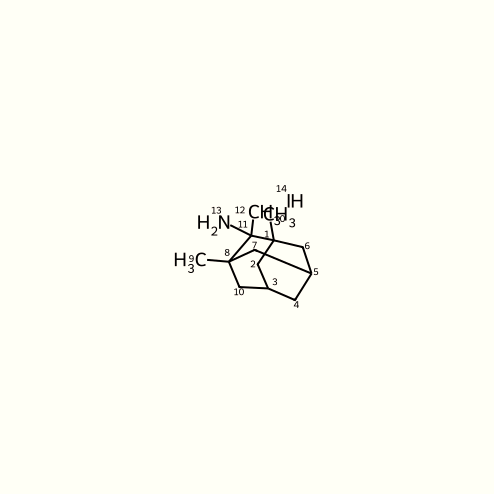 CC12CC3CC(C1)CC(C)(C3)C2(C)N.I